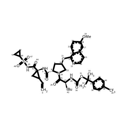 C=CC1C[C@]1(NC(=O)[C@@H]1C[C@@H](Oc2nccc3cc(OC)ccc23)CN1C(=O)[C@@H](NC(=O)OC(C)(C)c1ccc(C(F)(F)F)cc1)C(C)(C)C)C(=O)NS(=O)(=O)C1CC1